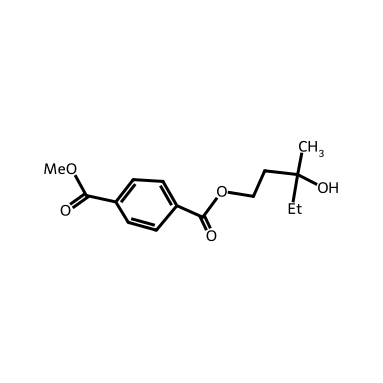 CCC(C)(O)CCOC(=O)c1ccc(C(=O)OC)cc1